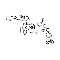 COCc1cc2c(Nc3cc([C@@H]4C[C@H](F)[C@H](OC(=O)Oc5ccc([N+](=O)[O-])cc5)C4)nn3C(C)(C)C)nccn2n1